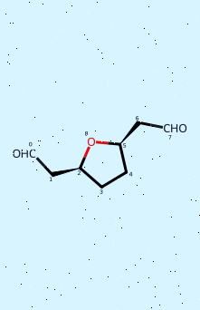 O=CC[C@@H]1CC[C@H](CC=O)O1